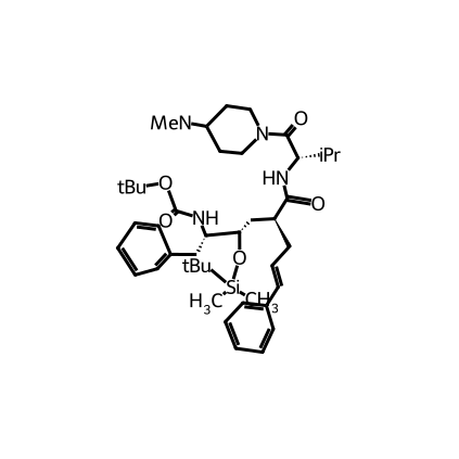 CNC1CCN(C(=O)[C@@H](NC(=O)[C@@H](CC=Cc2ccccc2)C[C@H](O[Si](C)(C)C(C)(C)C)[C@H](Cc2ccccc2)NC(=O)OC(C)(C)C)C(C)C)CC1